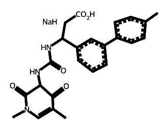 CC1=CN(C)C(=O)C(NC(=O)NC(CC(=O)O)c2cccc(-c3ccc(C)cc3)c2)C1=O.[NaH]